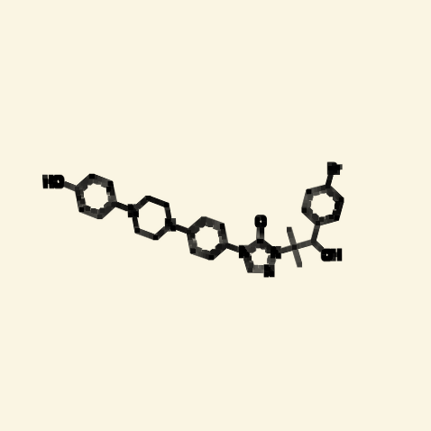 CC(C)(C(O)c1ccc(Br)cc1)n1ncn(-c2ccc(N3CCN(c4ccc(O)cc4)CC3)cc2)c1=O